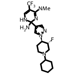 CNC1=NC(N)(c2cnn([C@@H]3CCN(C4CCCCC4)C[C@H]3F)c2)NC=C1C(F)(F)F